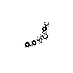 COC(=O)c1ccc(CN2CCCC[C@H](NCC(=O)Nc3ccc(Oc4ccccc4)cc3)C2=O)cc1